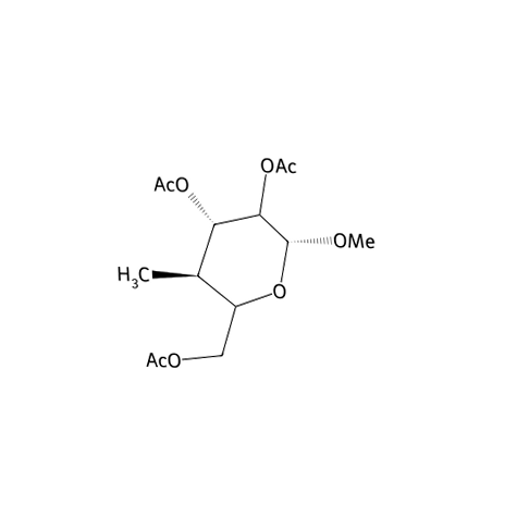 CO[C@@H]1OC(COC(C)=O)[C@@H](C)[C@H](OC(C)=O)C1OC(C)=O